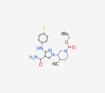 CC(C)(C)COC(=O)N1CCC(C#N)C(n2cc(C(N)=O)c(Nc3ccc(F)cc3)n2)C1